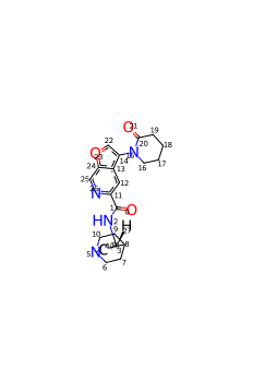 O=C(N[C@H]1CN2CCC1CC2)c1cc2c(N3CCCCC3=O)coc2cn1